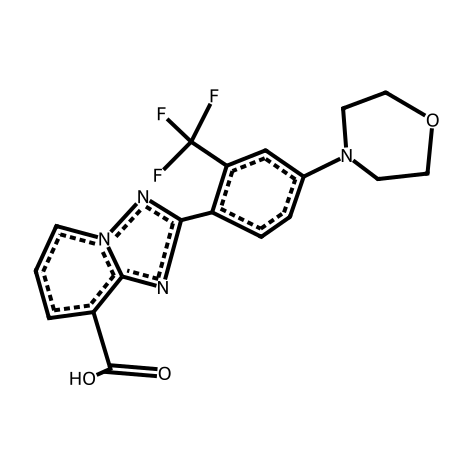 O=C(O)c1cccn2nc(-c3ccc(N4CCOCC4)cc3C(F)(F)F)nc12